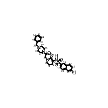 O=C(CN1CCC[C@H](NS(=O)(=O)c2ccc3cc(Cl)ccc3c2)C1=O)N1CCN(Cc2ccccc2)CC1